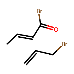 C=CCBr.CC=CC(=O)Br